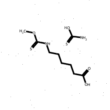 COC(=S)NCCCCCC(=O)O.NC(O)=S